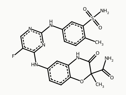 Cc1ccc(Nc2ncc(F)c(Nc3ccc4c(c3)NC(=O)C(C)(C(N)=O)O4)n2)cc1S(N)(=O)=O